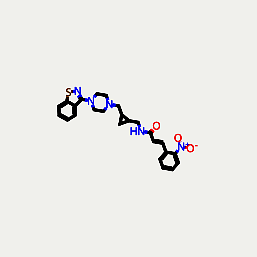 O=C(/C=C/c1ccccc1[N+](=O)[O-])NCC1CC1CN1CCN(c2nsc3ccccc23)CC1